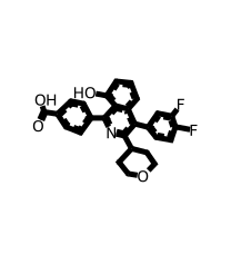 O=C(O)c1ccc(-c2nc(C3CCOCC3)c(-c3ccc(F)c(F)c3)c3cccc(O)c23)cc1